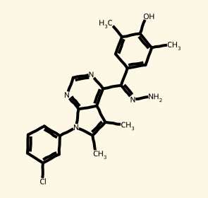 Cc1cc(C(=NN)c2ncnc3c2c(C)c(C)n3-c2cccc(Cl)c2)cc(C)c1O